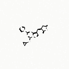 O=C1CC(=Cc2cnn3c(NC4CC4)nc(-n4ccnc4)nc23)C(=O)N1